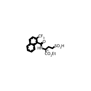 CCOC(=O)[C@H](CCS(=O)(=O)O)NC(=O)c1c(C(F)(F)F)ccc2ccccc12